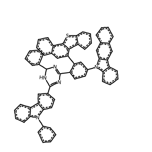 c1ccc(C2N=C(c3ccc(-n4c5ccccc5c5cc6ccccc6cc54)cc3-c3cc4ccccc4c4sc5ccccc5c34)N=C(c3ccc4c(c3)c3ccccc3n4-c3ccccc3)N2)cc1